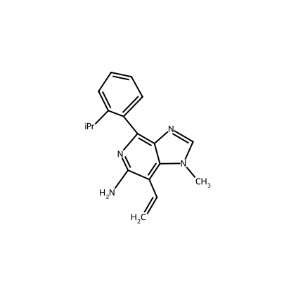 C=Cc1c(N)nc(-c2ccccc2C(C)C)c2ncn(C)c12